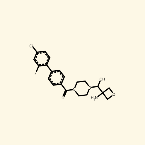 NC1(C(O)N2CCN(C(=O)c3ccc(-c4ccc(Cl)cc4F)cc3)CC2)COC1